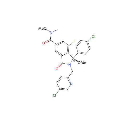 CON(C)C(=O)c1cc(F)c2c(c1)C(=O)N(Cc1ccc(Cl)cn1)[C@@]2(OC)c1ccc(Cl)cc1